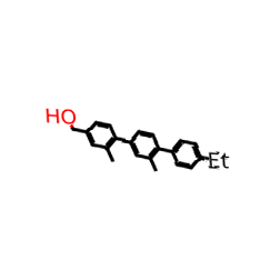 CCc1ccc(-c2ccc(-c3ccc(CO)cc3C)cc2C)cc1